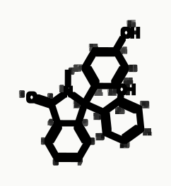 CN1C(=O)c2ccccc2C1(c1ccc(O)cc1)c1ccccc1O